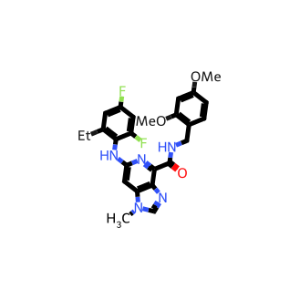 CCc1cc(F)cc(F)c1Nc1cc2c(ncn2C)c(C(=O)NCc2ccc(OC)cc2OC)n1